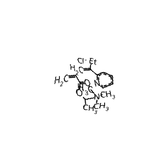 C=C(CC)c1ccccn1.C=CC(=O)OC(C)[N+](C)(C)C.[Cl-]